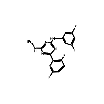 CC(C)Nc1nc(Nc2cc(F)cc(F)c2)nc(-c2nc(F)ccc2F)n1